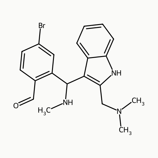 CNC(c1cc(Br)ccc1C=O)c1c(CN(C)C)[nH]c2ccccc12